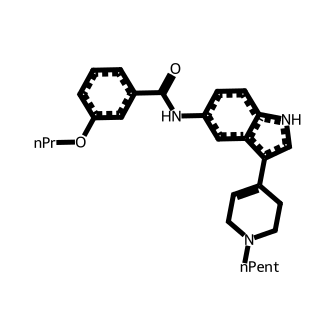 CCCCCN1CC=C(c2c[nH]c3ccc(NC(=O)c4cccc(OCCC)c4)cc23)CC1